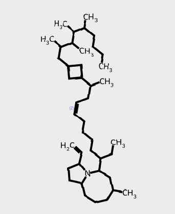 C=CC1CCC2CCCC(C)CC(C(CC)CCCC/C=C\CC(C)C3CC(CC(C)C(C)C(C)C(C)CCCC)C3)N12